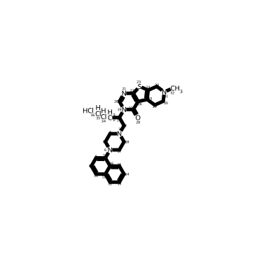 CC(CN1CCN(c2cccc3ccccc23)CC1)n1cnc2sc3c(c2c1=O)CCN(C)C3.Cl.Cl.Cl